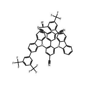 N#Cc1cc(C#N)cc(-c2c(-n3c4ccccc4c4ccc(-c5cc(C(F)(F)F)cc(C(F)(F)F)c5)cc43)cc(C#N)cc2-n2c3ccccc3c3ccc(-c4cc(C(F)(F)F)cc(C(F)(F)F)c4)cc32)c1